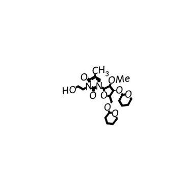 COC1C(n2cc(C)c(=O)n(CCO)c2=O)OC(COC2CCCCO2)[C@H]1OC1CCCCO1